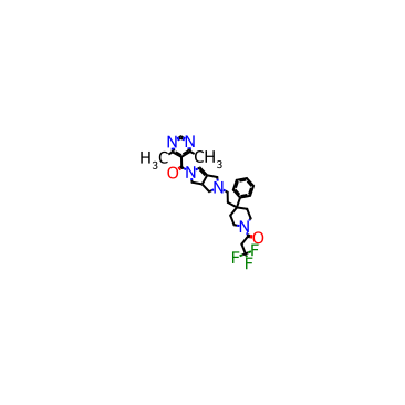 Cc1ncnc(C)c1C(=O)N1C=C2CN(CCC3(c4ccccc4)CCN(C(=O)CC(F)(F)F)CC3)CC2C1